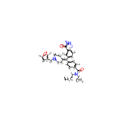 CCN(CC)C(=O)c1ccc(C(=C2CCN(Cc3ccoc3)CC2)c2cccc(C(N)=O)c2)cc1